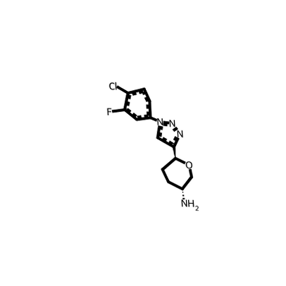 N[C@@H]1CC[C@@H](c2cn(-c3ccc(Cl)c(F)c3)nn2)OC1